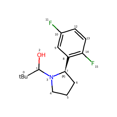 [CH2]C(C)(C)C(O)N1CCC[C@@H]1c1cc(F)ccc1F